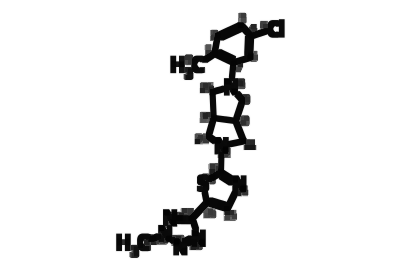 Cc1ccc(Cl)cc1N1CC2CN(c3ncc(-c4nnn(C)n4)s3)CC2C1